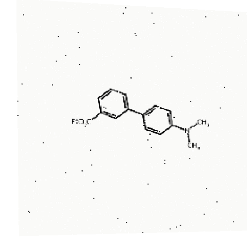 CCOC(=O)c1cccc(-c2ccc(N(C)C)cc2)c1